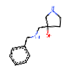 OC1(CNCc2ccccc2)CCNC1